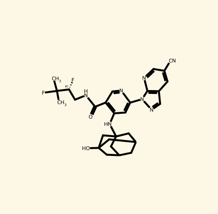 CC(C)(F)[C@H](F)CNC(=O)c1cnc(-n2ncc3cc(C#N)cnc32)cc1NC12CC3CC(CC(O)(C3)C1)C2